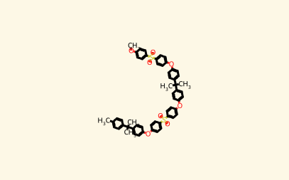 COc1ccc(S(=O)(=O)c2ccc(Oc3ccc(C(C)(C)c4ccc(Oc5ccc(S(=O)(=O)c6ccc(Oc7ccc(C(C)(C)c8ccc(C)cc8)cc7)cc6)cc5)cc4)cc3)cc2)cc1